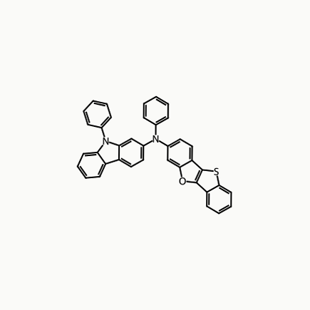 c1ccc(N(c2ccc3c(c2)oc2c4ccccc4sc32)c2ccc3c4ccccc4n(-c4ccccc4)c3c2)cc1